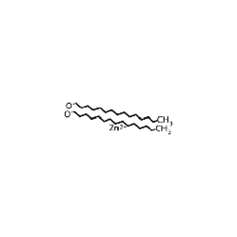 CCCCCCCCCCCCCCC[O-].CCCCCCCCCCCCCCC[O-].[Zn+2]